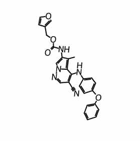 Cc1c(NC(=O)OCc2ccoc2)cn2ncc(C#N)c(Nc3ccc(Oc4ccccc4)cc3)c12